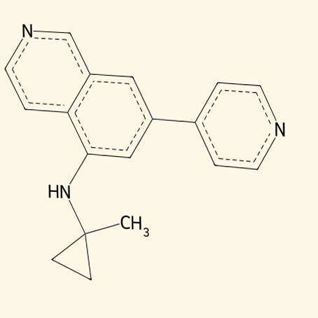 CC1(Nc2cc(-c3ccncc3)cc3cnccc23)CC1